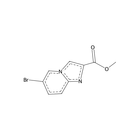 COC(=O)c1cn2cc(Br)ccc2n1